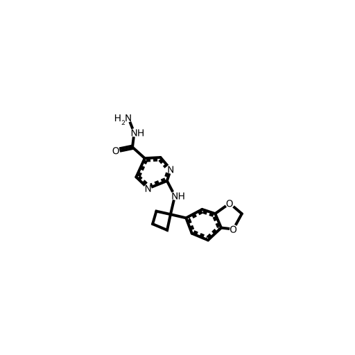 NNC(=O)c1cnc(NC2(c3ccc4c(c3)OCO4)CCC2)nc1